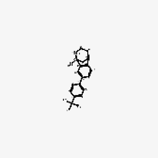 FC(F)(F)c1ccc(-c2ccc3c(c2)[C@H]2CC3CCN2)cc1